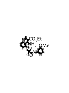 CCOC(=O)c1c(C)nc2cccc(OCC(C)(C)C(=O)NCc3cccc(OC)c3)c2c1N